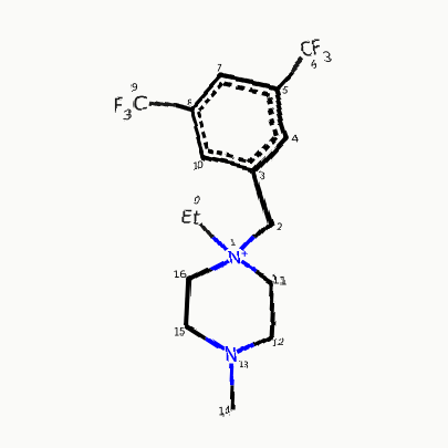 CC[N+]1(Cc2cc(C(F)(F)F)cc(C(F)(F)F)c2)CCN(C)CC1